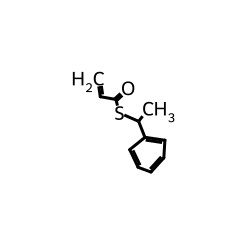 C=CC(=O)SC(C)c1ccccc1